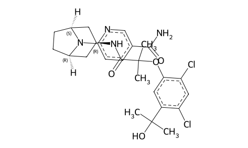 CC(C)(Oc1cc(C(C)(C)O)c(Cl)cc1Cl)C(=O)N[C@H]1C[C@H]2CC[C@@H](C1)N2c1ccc(C(N)=O)cn1